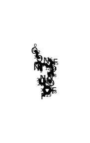 COCCOc1cnn(C)c1-c1cc(OC2CN(C(=O)N3N=CCC3c3cc(F)cc(F)c3)C2)c(F)cn1